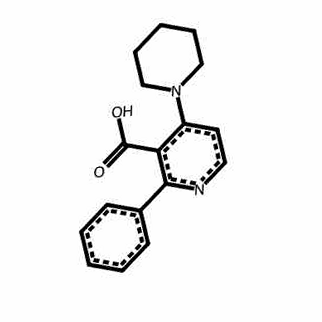 O=C(O)c1c(N2CCCCC2)ccnc1-c1ccccc1